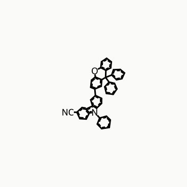 N#Cc1ccc2c(c1)c1cc(-c3ccc4c(c3)C(c3ccccc3)(c3ccccc3)c3ccccc3O4)ccc1n2-c1ccccc1